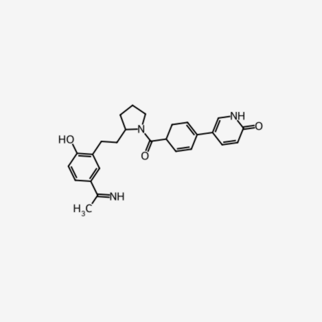 CC(=N)c1ccc(O)c(CCC2CCCN2C(=O)C2C=CC(c3ccc(=O)[nH]c3)=CC2)c1